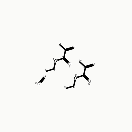 C=C(C)C(=O)OCC.C=C(C)C(=O)OCC.C=O